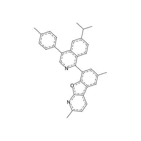 Cc1ccc(-c2cnc(-c3cc(C)cc4c3oc3nc(C)ccc34)c3ccc(C(C)C)cc23)cc1